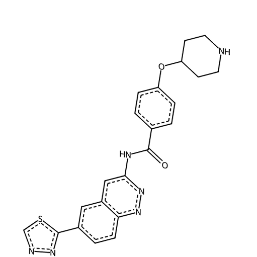 O=C(Nc1cc2cc(-c3nncs3)ccc2nn1)c1ccc(OC2CCNCC2)cc1